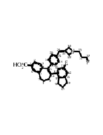 O=C(O)c1ccc2c(c1)CCCC(c1cc(F)cc3c1CCC3)=C2c1ccc(C=C2CN(CCCF)C2)cc1